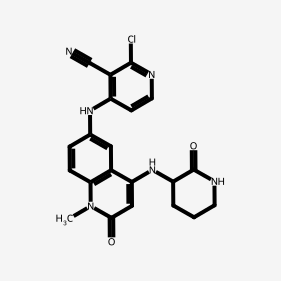 Cn1c(=O)cc(NC2CCCNC2=O)c2cc(Nc3ccnc(Cl)c3C#N)ccc21